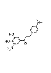 CN(C)c1ccc(C=CC(=O)c2cc(O)c(O)c([N+](=O)[O-])c2)cc1